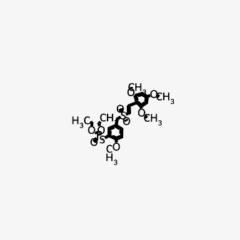 CCOP(=O)(OCC)Sc1cc(CS(=O)(=O)/C=C/c2c(OC)cc(OC)cc2OC)ccc1OC